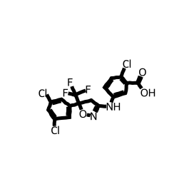 O=C(O)c1cc(NC2=NOC(c3cc(Cl)cc(Cl)c3)(C(F)(F)F)C2)ccc1Cl